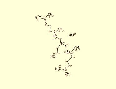 CC(C)=CCC/C(C)=C/CN(C/C=C(\C)CCC=C(C)C)CCO.Cl